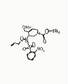 C=CCON(C1CN(C(=O)OC(C)(C)C)CC=C1COC)S(=O)(=O)c1ccccc1[N+](=O)[O-]